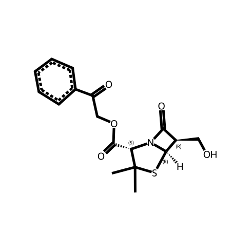 CC1(C)S[C@@H]2[C@H](CO)C(=O)N2[C@H]1C(=O)OCC(=O)c1ccccc1